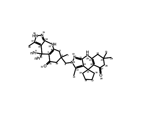 CCCC1(CCC)C2=C(CC(C)(Cn3nc4c(c3C)C3(CCCC3)C3=C(CC(C)(C)CC3=O)N4)CC2=O)Nc2n[nH]c(C)c21